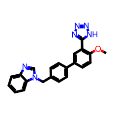 COc1ccc(-c2ccc(Cn3cnc4ccccc43)cc2)cc1-c1nnn[nH]1